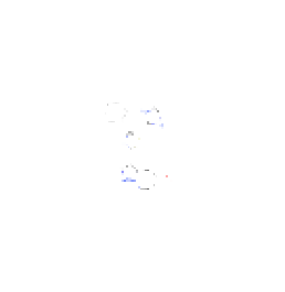 Cc1nn2ccc(O)cc2c1-c1nc(-c2ccccc2)c(-c2ncc[nH]2)s1